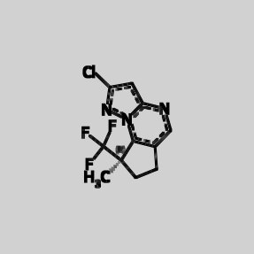 C[C@@]1(C(F)(F)F)CCc2cnc3cc(Cl)nn3c21